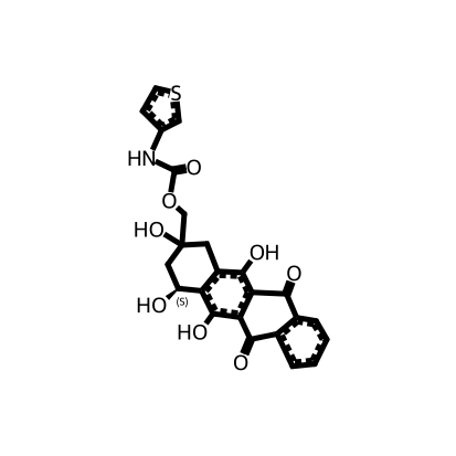 O=C(Nc1ccsc1)OCC1(O)Cc2c(O)c3c(c(O)c2[C@@H](O)C1)C(=O)c1ccccc1C3=O